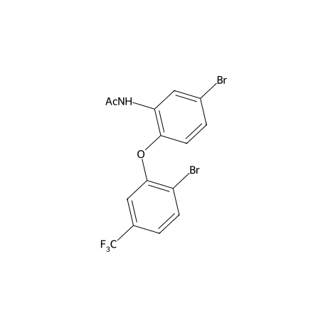 CC(=O)Nc1cc(Br)ccc1Oc1cc(C(F)(F)F)ccc1Br